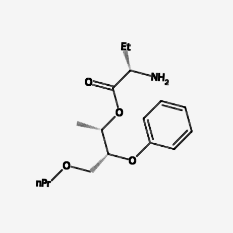 CCCOC[C@@H](Oc1ccccc1)[C@H](C)OC(=O)[C@@H](N)CC